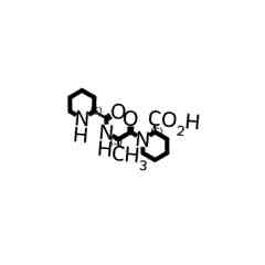 C[C@H](NC(=O)[C@@H]1CCCCN1)C(=O)N1CCCC[C@H]1C(=O)O